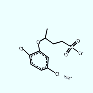 CC(CCS(=O)(=O)[O-])Oc1cc(Cl)ccc1Cl.[Na+]